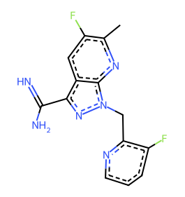 Cc1nc2c(cc1F)c(C(=N)N)nn2Cc1ncccc1F